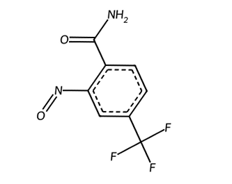 NC(=O)c1ccc(C(F)(F)F)cc1N=O